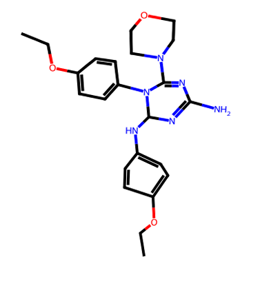 CCOc1ccc(NC2N=C(N)N=C(N3CCOCC3)N2c2ccc(OCC)cc2)cc1